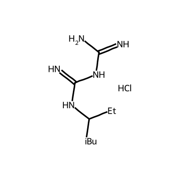 CCC(C)C(CC)NC(=N)NC(=N)N.Cl